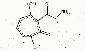 CCCCCCCCc1cccc(O)c(=O)c1C(=O)CN